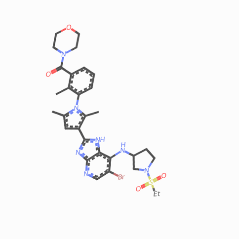 CCS(=O)(=O)N1CCC(Nc2c(Br)cnc3nc(-c4cc(C)n(-c5cccc(C(=O)N6CCOCC6)c5C)c4C)[nH]c23)C1